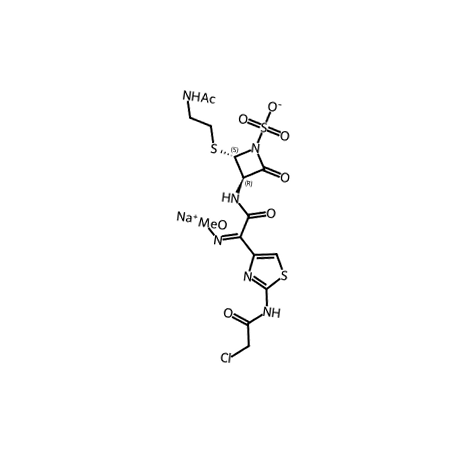 CON=C(C(=O)N[C@@H]1C(=O)N(S(=O)(=O)[O-])[C@H]1SCCNC(C)=O)c1csc(NC(=O)CCl)n1.[Na+]